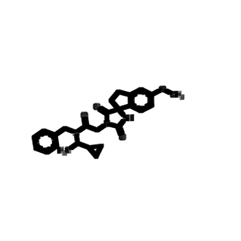 COc1ccc2c(c1)CCC21NC(=O)N(CC(=O)N(Cc2ccccc2)C(C)C2CC2)C1=O